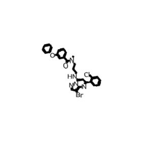 CN(CCCNc1cc(-c2ccccc2Cl)nc2c(Br)cnn12)C(=O)c1cccc(Oc2ccccc2)c1